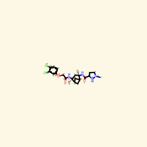 CN1CCC(C(=O)N[C@@H]2C[C@H](NC(=O)COc3ccc(Cl)c(Cl)c3)C3CC2C3)N1